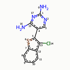 Nc1ncc(-c2sc3ccccc3c2Cl)c(N)n1